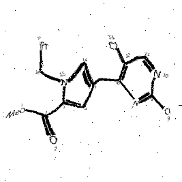 COC(=O)c1cc(-c2nc(Cl)ncc2Cl)cn1CC(C)C